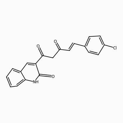 O=C(C=Cc1ccc(Cl)cc1)CC(=O)c1cc2ccccc2[nH]c1=O